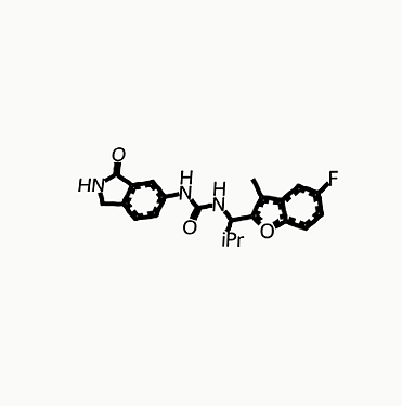 Cc1c(C(NC(=O)Nc2ccc3c(c2)C(=O)NC3)C(C)C)oc2ccc(F)cc12